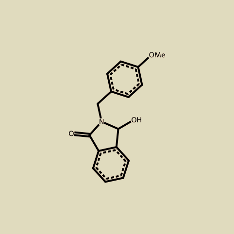 COc1ccc(CN2C(=O)c3ccccc3C2O)cc1